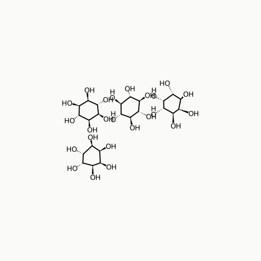 O[C@H]1[C@H](O)[C@@H](O)[C@@H](O)[C@H](O)[C@H]1O.O[C@H]1[C@H](O)[C@@H](O)[C@H](O)[C@@H](O)[C@@H]1O.O[C@H]1[C@H](O)[C@H](O)[C@@H](O)[C@@H](O)[C@H]1O.O[C@H]1[C@H](O)[C@H](O)[C@H](O)[C@@H](O)[C@H]1O